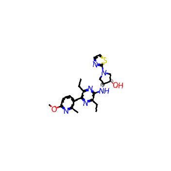 CCc1nc(-c2ccc(OC)nc2C)c(CC)nc1N[C@@H]1CN(c2nccs2)C[C@@H]1O